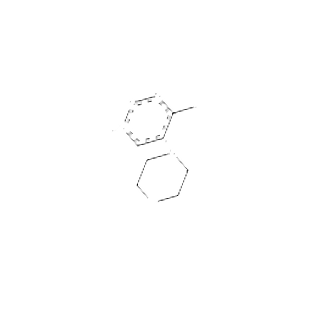 C1COCCN1.Clc1ccnnn1